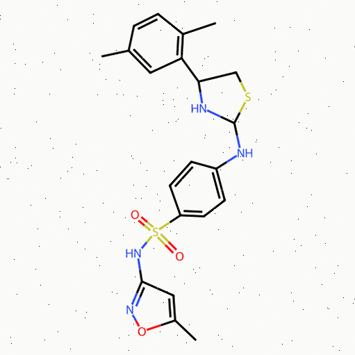 Cc1ccc(C)c(C2CSC(Nc3ccc(S(=O)(=O)Nc4cc(C)on4)cc3)N2)c1